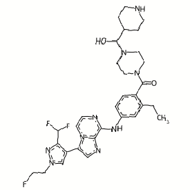 CCc1cc(Nc2nccn3c(-c4cn(CCF)nc4C(F)F)cnc23)ccc1C(=O)N1CCN(C(O)C2CCNCC2)CC1